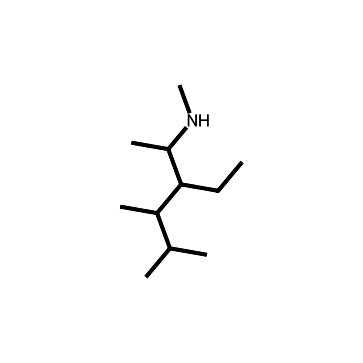 CCC(C(C)NC)C(C)C(C)C